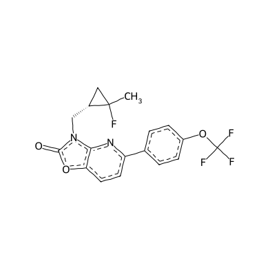 CC1(F)C[C@H]1Cn1c(=O)oc2ccc(-c3ccc(OC(F)(F)F)cc3)nc21